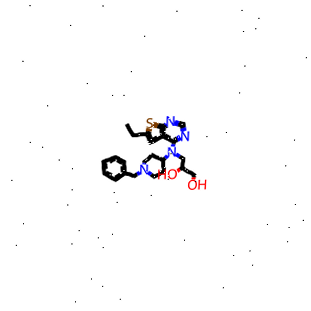 CCc1cc2c(N(CC(O)CO)C3CCN(Cc4ccccc4)CC3)ncnc2s1